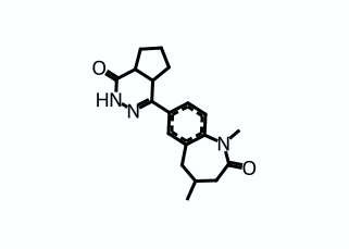 CC1CC(=O)N(C)c2ccc(C3=NNC(=O)C4CCCC34)cc2C1